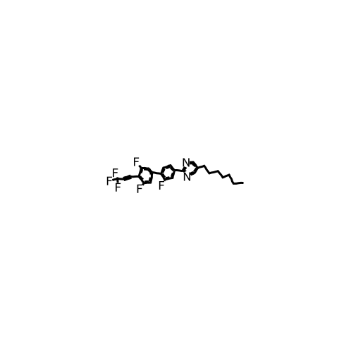 CCCCCCCc1cnc(-c2ccc(-c3cc(F)c(C#CC(F)(F)F)c(F)c3)c(F)c2)nc1